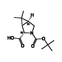 CC(C)(C)OC(=O)N1C[C@H]2C([C@H]1C(=O)O)C2(C)C